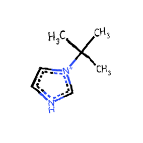 CC(C)(C)[n+]1cc[nH]c1